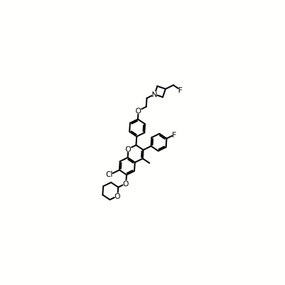 CC1=C(c2ccc(F)cc2)C(c2ccc(OCCN3CC(CF)C3)cc2)Oc2cc(Cl)c(OC3CCCCO3)cc21